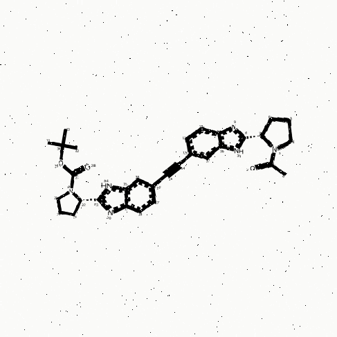 CC(=O)N1CCC[C@H]1c1nc2ccc(C#Cc3ccc4nc([C@@H]5CCCN5C(=O)OC(C)(C)C)[nH]c4c3)cc2[nH]1